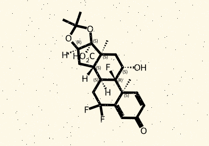 CC1(C)O[C@@H]2C[C@H]3[C@@H]4CC(F)(F)C5=CC(=O)C=C[C@]5(C)[C@@]4(F)[C@@H](O)C[C@]3(C)[C@]2(C(=O)O)O1